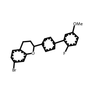 COc1ccc(F)c(-c2ccc(C3CCc4ccc(Br)cc4O3)cc2)c1